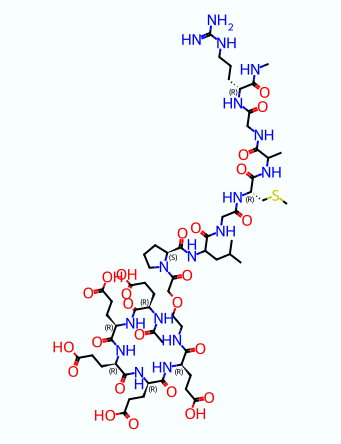 CNC(=O)[C@@H](CCCNC(=N)N)NC(=O)CNC(=O)C(C)NC(=O)[C@H](CSC)NC(=O)CNC(=O)C(CC(C)C)NC(=O)[C@@H]1CCCN1C(=O)COCCNC(=O)[C@@H](CCC(=O)O)NC(=O)[C@@H](CCC(=O)O)NC(=O)[C@@H](CCC(=O)O)NC(=O)[C@@H](CCC(=O)O)NC(=O)[C@@H](CCC(=O)O)NC(C)=O